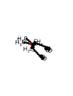 CCCCCCCCC1(CCCCCCCC)c2cc(C)c(SCCCCCCCCc3ccc4oc(=O)ccc4c3)cc2-c2cc(SCCCCCCCCc3ccc4oc(=O)ccc4c3)c(C)cc21